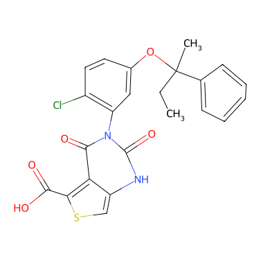 CCC(C)(Oc1ccc(Cl)c(-n2c(=O)[nH]c3csc(C(=O)O)c3c2=O)c1)c1ccccc1